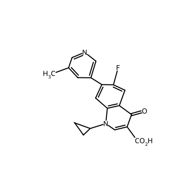 Cc1cncc(-c2cc3c(cc2F)c(=O)c(C(=O)O)cn3C2CC2)c1